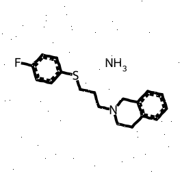 Fc1ccc(SCCCN2CCc3ccccc3C2)cc1.N